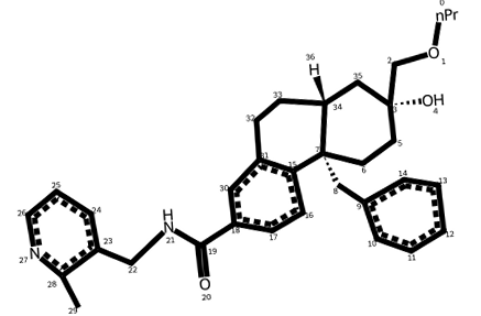 CCCOC[C@@]1(O)CC[C@@]2(Cc3ccccc3)c3ccc(C(=O)NCc4cccnc4C)cc3CC[C@@H]2C1